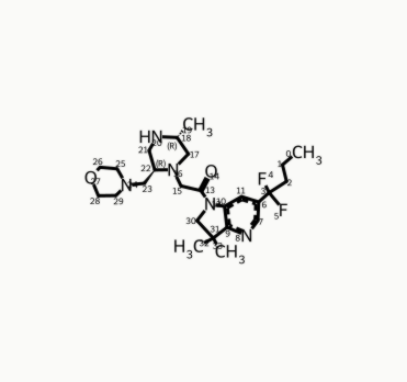 CCCC(F)(F)c1cnc2c(c1)N(C(=O)CN1C[C@@H](C)NC[C@@H]1CN1CCOCC1)CC2(C)C